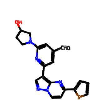 O=Cc1cc(-c2cnn3ccc(-c4cccs4)nc23)nc(N2CCC(O)C2)c1